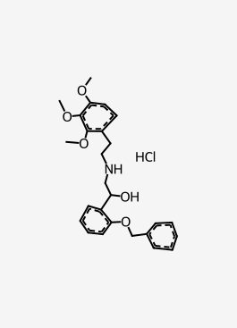 COc1ccc(CCNCC(O)c2ccccc2OCc2ccccc2)c(OC)c1OC.Cl